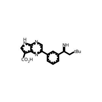 CC(C)(C)CC(=N)c1cccc(-c2cnc3[nH]cc(C(=O)O)c3n2)c1